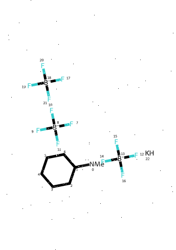 CNC1CCCCC1.F[B-](F)(F)F.F[B-](F)(F)F.F[B-](F)(F)F.[KH]